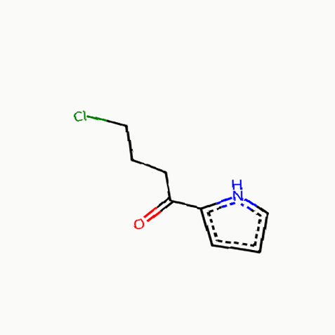 O=C(CCCCl)c1ccc[nH]1